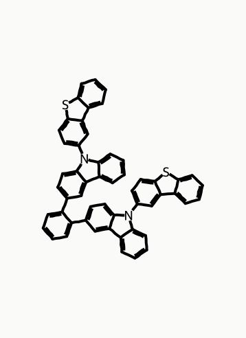 c1ccc(-c2ccc3c(c2)c2ccccc2n3-c2ccc3sc4ccccc4c3c2)c(-c2ccc3c(c2)c2ccccc2n3-c2ccc3sc4ccccc4c3c2)c1